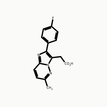 Cc1ccc2nc(-c3ccc(F)cc3)c(CC(=O)O)n2n1